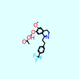 CC(=O)O.COc1cc2c(cc1OC)C(CCc1ccc(C(F)(F)F)cc1)=NCC2